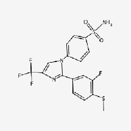 CSc1ccc(-c2nc(C(F)(F)F)cn2-c2ccc(S(N)(=O)=O)cc2)cc1F